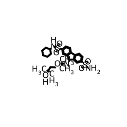 CC(C)(O)CCOC(C)(C)/N=C1/c2cc(S(N)(=O)=O)ccc2-c2ccc(S(=O)(=O)NC3CCCCC3)cc21